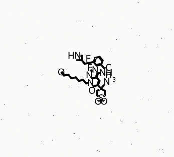 C[C@@H](Nc1ncnc2c1cc(C1(C#N)CCS(=O)(=O)CC1)c(=O)n2CCCCCCC=O)c1cccc(C(F)(F)CC2CNC2)c1